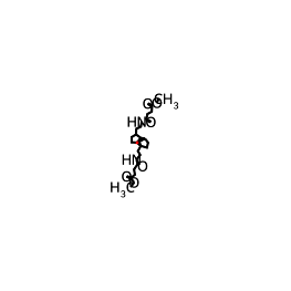 COC(=O)CCC(=O)NCCC1CCC2C1C1CCC2(CCNC(=O)CCC(=O)OC)C1